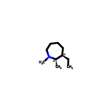 CC[C@@H]1CCCCN(C)[C@H]1C